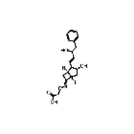 O=C(O)CON=C1C[C@H]2C(C=CC(O)Cc3ccccc3)C(O)C[C@H]12